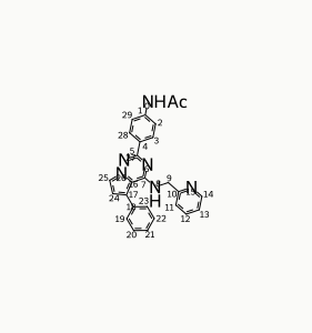 CC(=O)Nc1ccc(-c2nc(NCc3ccccn3)c3c(-c4ccccc4)ccn3n2)cc1